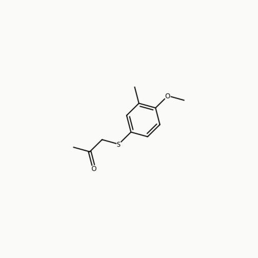 COc1ccc(SCC(C)=O)cc1C